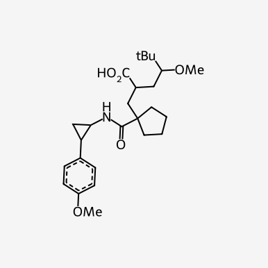 COc1ccc(C2CC2NC(=O)C2(CC(CC(OC)C(C)(C)C)C(=O)O)CCCC2)cc1